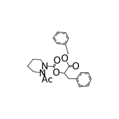 CC(=O)N1CCCCN1C(=O)OC(Cc1ccccc1)C(=O)OCc1ccccc1